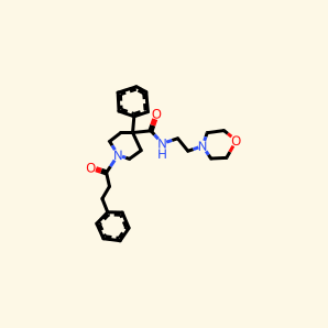 O=C(CCc1ccccc1)N1CCC(C(=O)NCCN2CCOCC2)(c2ccccc2)CC1